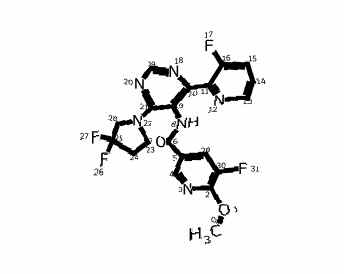 COc1ncc(C(=O)Nc2c(-c3ncccc3F)ncnc2N2CCC(F)(F)C2)cc1F